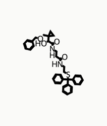 O=C(CCNC(=O)C(O)C1(COCc2ccccc2)CC1)NCCSC(c1ccccc1)(c1ccccc1)c1ccccc1